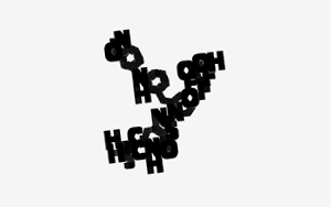 CC1(C)Cc2nc(N3CCOCC3Cc3cccc(Nc4ccc5ncoc5c4)c3)sc2C(=O)N1.O=C(O)C(F)(F)F